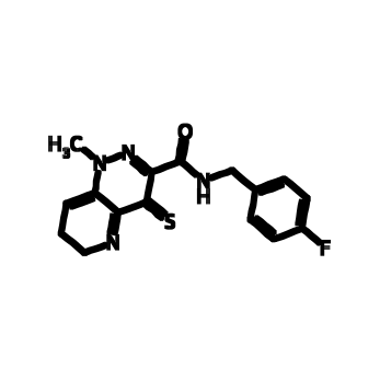 Cn1nc(C(=O)NCc2ccc(F)cc2)c(=S)c2c1=CCCN=2